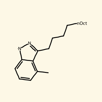 CCCCCCCCCCCCC1=N[N]c2cccc(C)c21